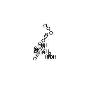 CN(CCCC(=O)NO)CCC(CSc1ccccc1)Nc1ccc(S(=O)(=O)NC(=O)c2ccc(N3CCN(Cc4ccccc4-c4ccc(Cl)cc4)CC3)cc2)cc1[N+](=O)[O-]